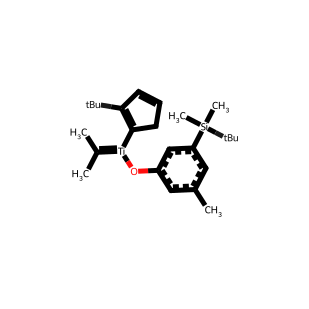 C[C](C)=[Ti]([O]c1cc(C)cc([Si](C)(C)C(C)(C)C)c1)[C]1=C(C(C)(C)C)C=CC1